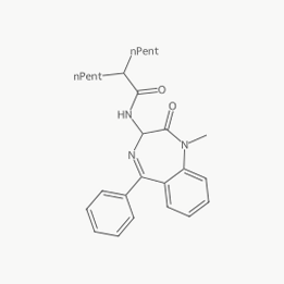 CCCCCC(CCCCC)C(=O)NC1N=C(c2ccccc2)c2ccccc2N(C)C1=O